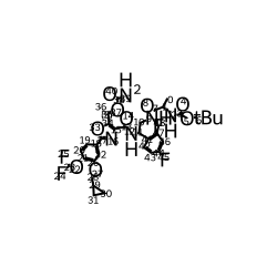 CC(NC(=O)OC(C)(C)C)C(=O)NCC(NC(=O)c1nc(-c2ccc(OC(F)F)c(OCC3CC3)c2)oc1[C@H](C)OC(N)=O)c1ccc(F)cc1F